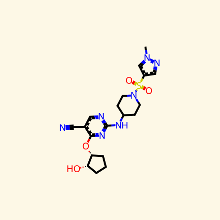 Cn1cc(S(=O)(=O)N2CCC(Nc3ncc(C#N)c(O[C@@H]4CCC[C@@H]4O)n3)CC2)cn1